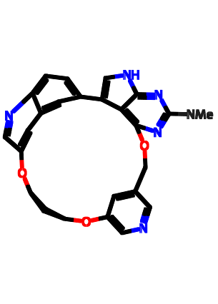 CNc1nc2c3c(c[nH]c3n1)-c1ccc3ncc(cc3c1)OC1CC(C1)Oc1cncc(c1)CO2